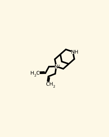 C=CC[N+]1(CC=C)CC2CNCC(C2)C1